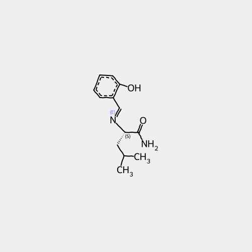 CC(C)C[C@H](/N=C/c1ccccc1O)C(N)=O